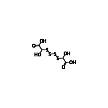 O=C(O)C(O)SSSSC(O)C(=O)O